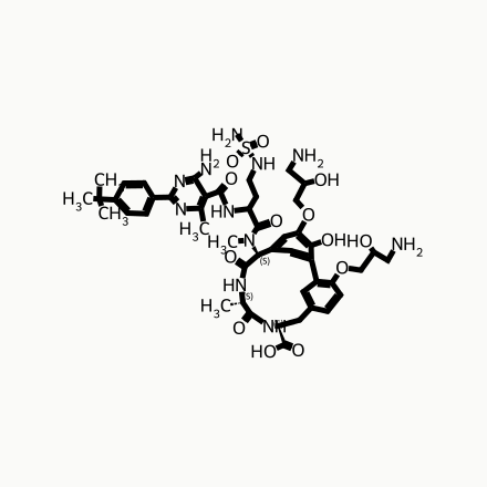 Cc1nc(-c2ccc(C(C)(C)C)cc2)nc(N)c1C(=O)NC(CCNS(N)(=O)=O)C(=O)N(C)[C@@H]1C(=O)N[C@@H](C)C(=O)N[C@H](C(=O)O)Cc2ccc(OCC(O)CN)c(c2)-c2cc1cc(OCC(O)CN)c2O